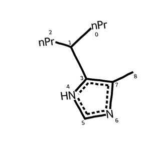 CCCC(CCC)c1[nH]cnc1C